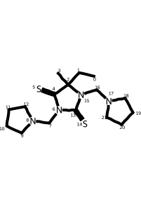 CCC1(C)C(=S)N(CN2CCCC2)C(=S)N1CN1CCCC1